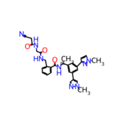 C[C@@H](NC(=O)c1ccccc1CNC(=O)CNC(=O)CC#N)c1cc(-c2cnn(C)c2)cc(-c2ccn(C)n2)c1